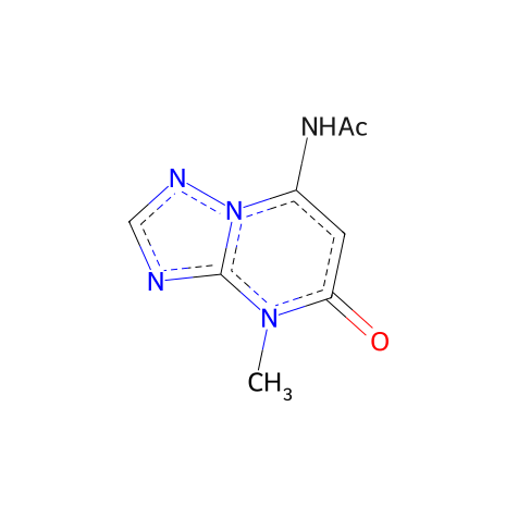 CC(=O)Nc1cc(=O)n(C)c2ncnn12